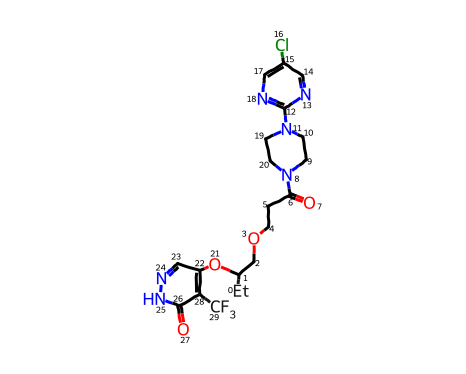 CCC(COCCC(=O)N1CCN(c2ncc(Cl)cn2)CC1)Oc1cn[nH]c(=O)c1C(F)(F)F